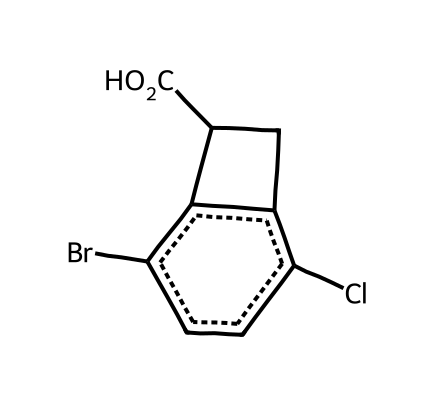 O=C(O)C1Cc2c(Cl)ccc(Br)c21